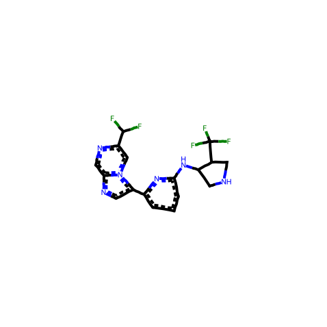 FC(F)c1cn2c(-c3cccc(NC4CNCC4C(F)(F)F)n3)cnc2cn1